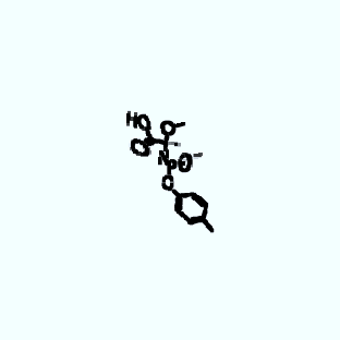 CO[C@@](C)(N=[P+]([O-])Oc1ccc(C)cc1)C(=O)O